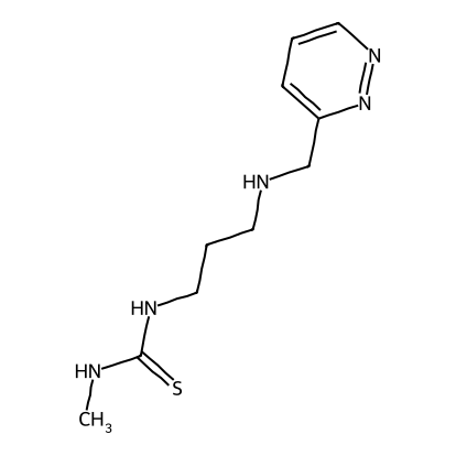 CNC(=S)NCCCNCc1cccnn1